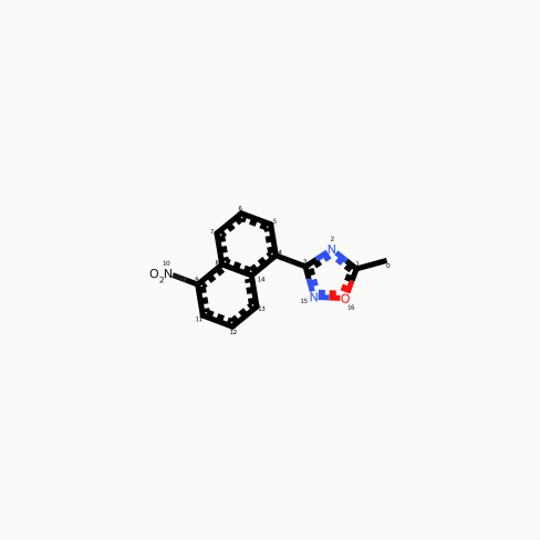 Cc1nc(-c2cccc3c([N+](=O)[O-])cccc23)no1